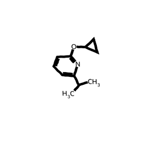 CC(C)c1cccc(OC2CC2)n1